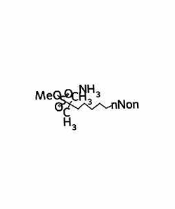 CCCCCCCCCCCCCCC(C)(C)S(=O)(=O)OC.N